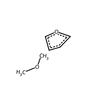 COC.c1ccoc1